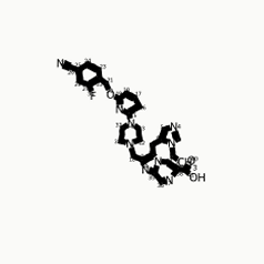 CCn1cncc1Cc1c(CN2CCN(c3cccc(OCc4ccc(C#N)cc4F)n3)CC2)nc2cnc(C(=O)O)cn12